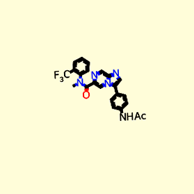 CC(=O)Nc1ccc(-c2cnc3cnc(C(=O)N(C)c4ccccc4C(F)(F)F)cn23)cc1